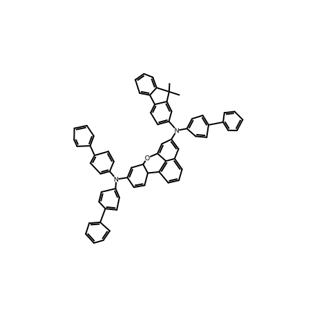 CC1(C)c2ccccc2-c2ccc(N(c3ccc(-c4ccccc4)cc3)c3cc4c5c(cccc5c3)C3C=CC(N(c5ccc(-c6ccccc6)cc5)c5ccc(-c6ccccc6)cc5)=CC3O4)cc21